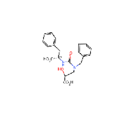 O=C(O)C(O)CN(Cc1ccccc1)C(=O)N[C@@H](Cc1ccccc1)C(=O)O